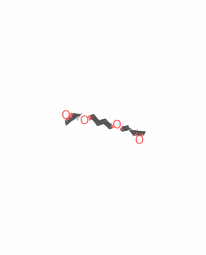 C(CCOC[C@@H]1CO1)COCC[C@@H]1CO1